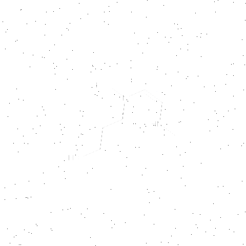 CCCCN(C)/C=C\NI